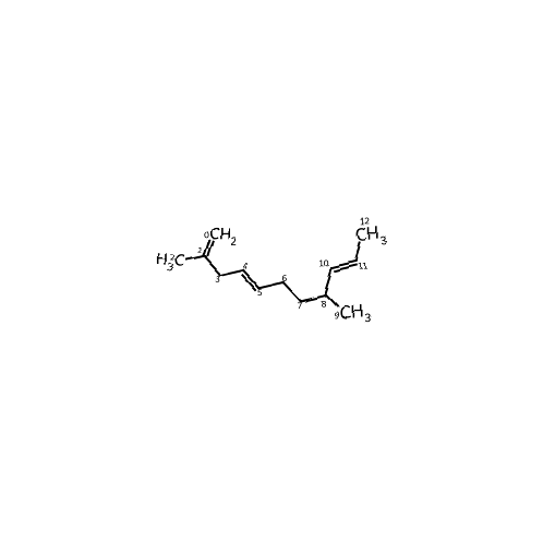 C=C(C)C/C=C/CCC(C)/C=C/C